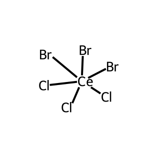 [Cl][Ce]([Cl])([Cl])([Br])([Br])[Br]